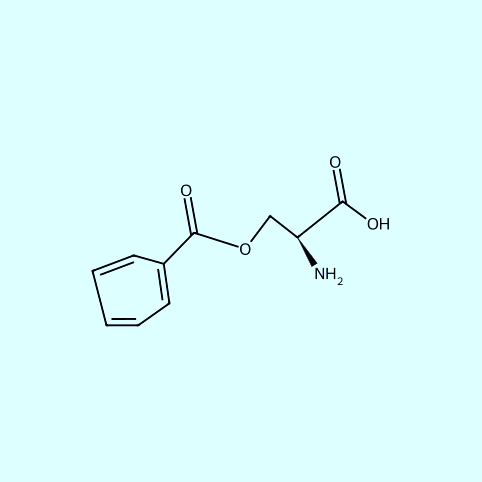 N[C@@H](COC(=O)c1ccccc1)C(=O)O